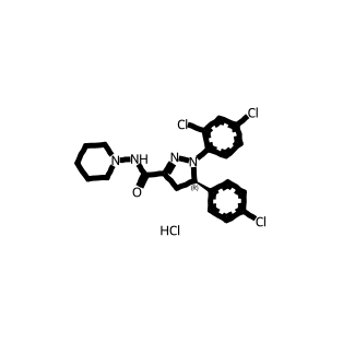 Cl.O=C(NN1CCCCC1)C1=NN(c2ccc(Cl)cc2Cl)[C@@H](c2ccc(Cl)cc2)C1